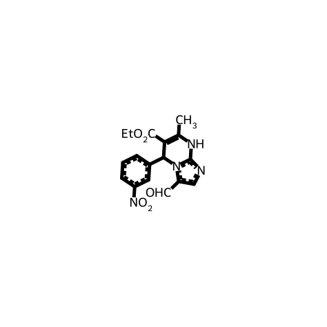 CCOC(=O)C1=C(C)Nc2ncc(C=O)n2C1c1cccc([N+](=O)[O-])c1